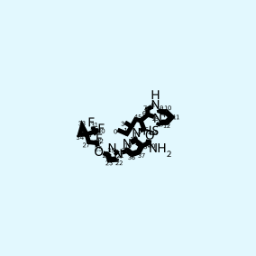 CCC1(C)CC(C2CNc3cccc(S)[n+]32)CN1c1nc(-n2ccc(OCCC3(C(F)(F)F)CC3)n2)ccc1C(N)=O